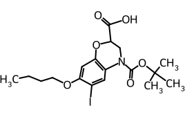 CCCCOc1cc2c(cc1I)N(C(=O)OC(C)(C)C)CC(C(=O)O)O2